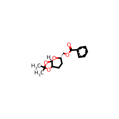 CC1(C)OC2CC[C@@H](COC(=O)c3ccccc3)O[C@@H]2O1